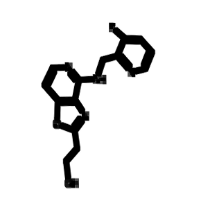 OCCc1nc2c(NCc3ncccc3F)nccc2o1